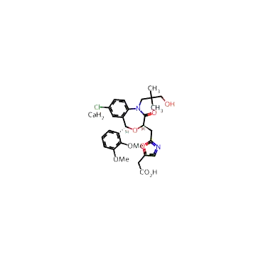 COc1cccc([C@H]2O[C@H](Cc3ncc(CC(=O)O)o3)C(=O)N(CC(C)(C)CO)c3ccc(Cl)cc32)c1OC.[CaH2]